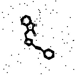 O=C1Nc2cccnc2C1=Cc1cc(C#Cc2ccccc2)cs1